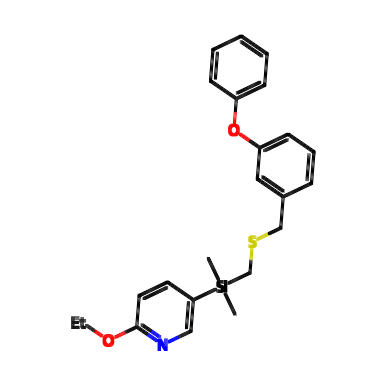 CCOc1ccc([Si](C)(C)CSCc2cccc(Oc3ccccc3)c2)cn1